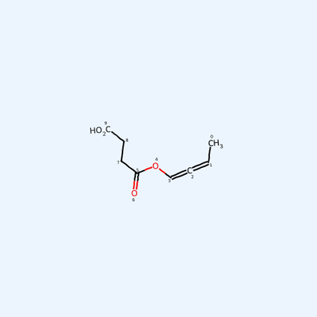 CC=C=COC(=O)CCC(=O)O